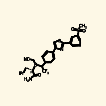 CC(C)C[C@@H](C(N)=O)N(CC#N)C(c1ccc(-c2csc(-c3cccc(S(C)(=O)=O)c3)n2)cc1)C(F)(F)F